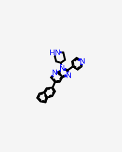 c1ccc2cc(-c3cnc4c(c3)nc(-c3ccncc3)n4C3CCNCC3)ccc2c1